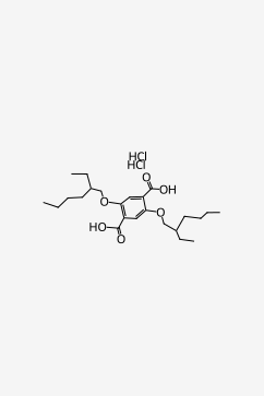 CCCCC(CC)COc1cc(C(=O)O)c(OCC(CC)CCCC)cc1C(=O)O.Cl.Cl